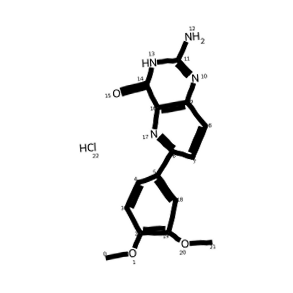 COc1ccc(-c2ccc3nc(N)[nH]c(=O)c3n2)cc1OC.Cl